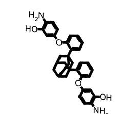 Nc1ccc(Oc2ccccc2C23CC4CC(C2)CC(c2ccccc2Oc2ccc(N)c(O)c2)(C4)C3)cc1O